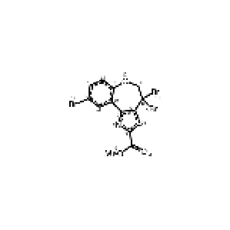 COC(=O)c1nc2c(s1)C(Br)(Br)COc1ccc(Br)cc1-2